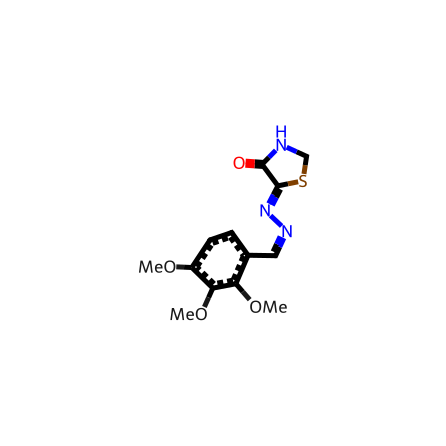 COc1ccc(/C=N\N=C2/SCNC2=O)c(OC)c1OC